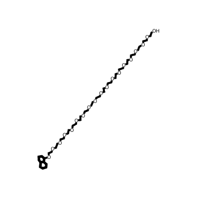 OCCOCCOCCOCCOCCOCCOCCOCCOCCOCCOCCOCCOCCOCCOCCOCCOCCOCCOc1cccc2ccccc12